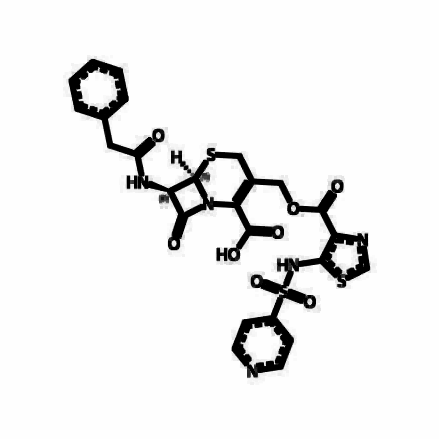 O=C(Cc1ccccc1)N[C@@H]1C(=O)N2C(C(=O)O)=C(COC(=O)c3ncsc3NS(=O)(=O)c3ccncc3)CS[C@H]12